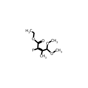 CCOC(=O)/C(F)=C(/C)C(OC)OC